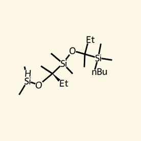 CCCC[Si](C)(C)C(C)(CC)O[Si](C)(C)[C@](C)(CC)O[SiH](C)C